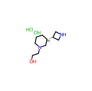 Cl.Cl.OCCN1CCC[C@H](C2CNC2)C1